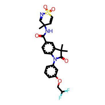 CC1(NC(=O)c2ccc3c(c2)C(C)(C)C(=O)N3c2cccc(OCC(F)F)c2)C=CS(=O)(=O)N=C1